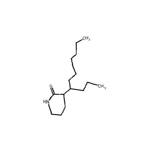 CCCCCCC(CCC)C1CCCNC1=O